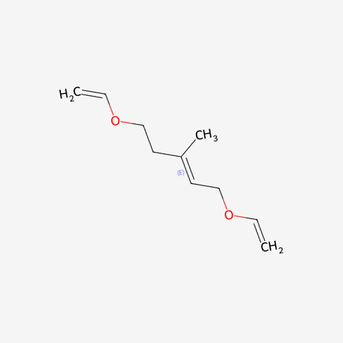 C=COC/C=C(\C)CCOC=C